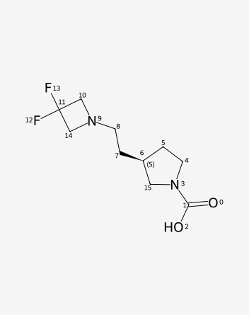 O=C(O)N1CC[C@H](CCN2CC(F)(F)C2)C1